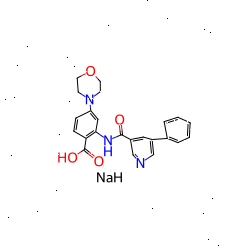 O=C(Nc1cc(N2CCOCC2)ccc1C(=O)O)c1cncc(-c2ccccc2)c1.[NaH]